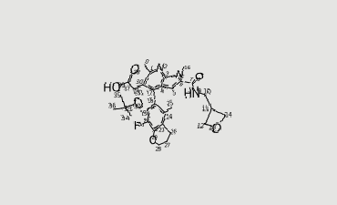 Cc1nc2c(cc(C(=O)NCC3COC3)n2C)c(-c2cc(F)c3c(c2C)CCCO3)c1[C@H](OC(C)(C)C)C(=O)O